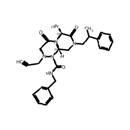 C#CCN1CC(=O)N2[C@@H](CCC)C(=O)N(CC(C)c3ccccc3)C[C@@H]2N1C(=O)NCc1ccccc1